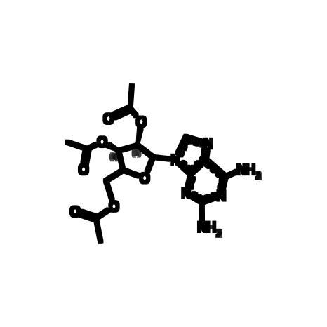 CC(=O)OCC1OC(n2cnc3c(N)nc(N)nc32)[C@H](OC(C)=O)[C@@H]1OC(C)=O